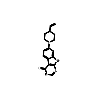 C=CC1CCN(c2ccc3c(c2)[nH]c2nc[nH]c(=O)c23)CC1